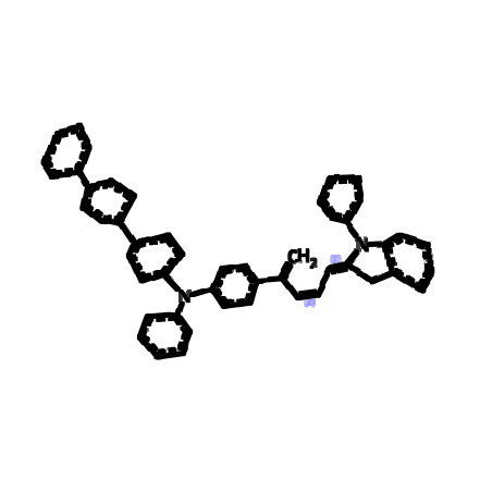 C=C(/C=C\C=C1/Cc2ccccc2N1c1ccccc1)c1ccc(N(c2ccccc2)c2ccc(-c3ccc(-c4ccccc4)cc3)cc2)cc1